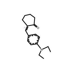 CCN(CC)c1ccc(/C=C2/CCCCC2=O)cc1